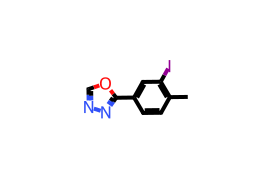 Cc1ccc(-c2nnco2)cc1I